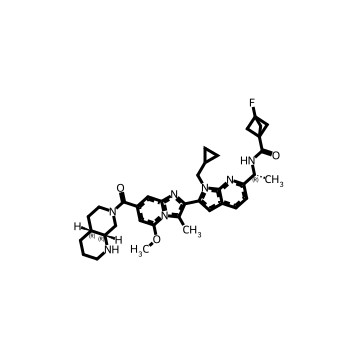 COc1cc(C(=O)N2CC[C@H]3CCCN[C@H]3C2)cc2nc(-c3cc4ccc([C@@H](C)NC(=O)C56CC(F)(C5)C6)nc4n3CC3CC3)c(C)n12